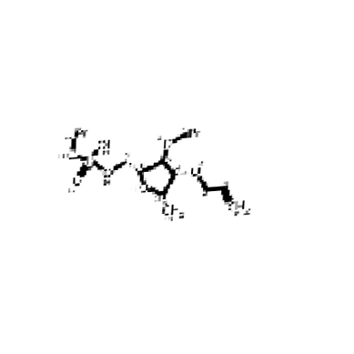 C=CCO[C@H]1C(OC(C)C)[C@@H](COP(=O)(O)OC(C)C)O[C@H]1C